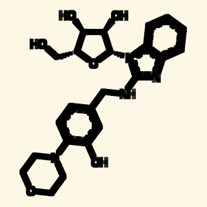 OC[C@H]1O[C@@H](n2c(NCc3ccc(N4CCOCC4)c(O)c3)nc3ccccc32)[C@H](O)[C@@H]1O